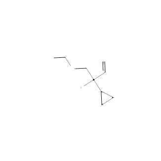 CCOCC(Br)(C=O)C1CC1